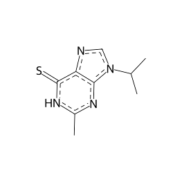 Cc1nc2c(ncn2C(C)C)c(=S)[nH]1